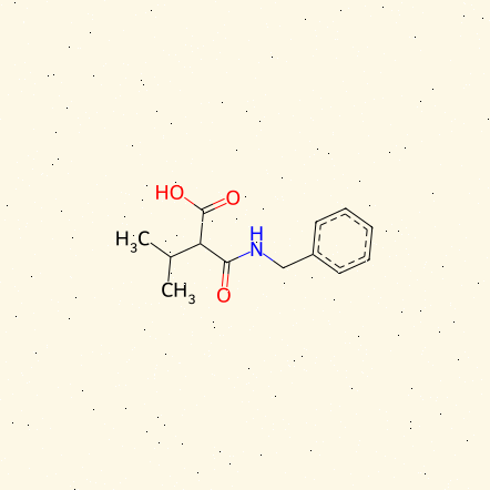 CC(C)C(C(=O)O)C(=O)NCc1ccccc1